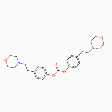 O=C(Oc1ccc(CCN2CCOCC2)cc1)Oc1ccc(CCN2CCOCC2)cc1